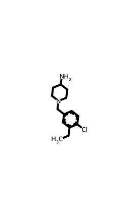 CCc1cc(CN2CCC(N)CC2)ccc1Cl